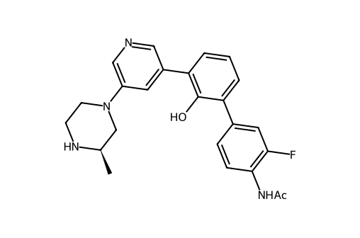 CC(=O)Nc1ccc(-c2cccc(-c3cncc(N4CCN[C@H](C)C4)c3)c2O)cc1F